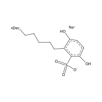 CCCCCCCCCCCCCCCc1c(O)ccc(O)c1S(=O)(=O)[O-].[Na+]